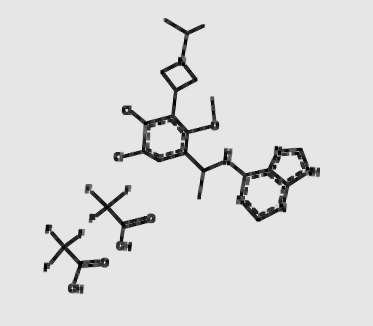 COc1c(C(C)Nc2ncnc3[nH]cnc23)cc(Cl)c(Cl)c1C1CN(C(C)C)C1.O=C(O)C(F)(F)F.O=C(O)C(F)(F)F